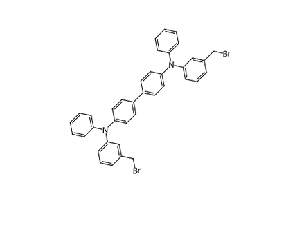 BrCc1cccc(N(c2ccccc2)c2ccc(-c3ccc(N(c4ccccc4)c4cccc(CBr)c4)cc3)cc2)c1